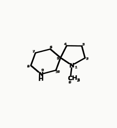 CN1CCCC12CCCNC2